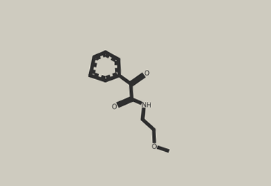 COCCNC(=O)C(=O)c1ccccc1